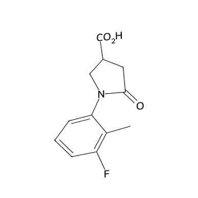 Cc1c(F)cccc1N1CC(C(=O)O)CC1=O